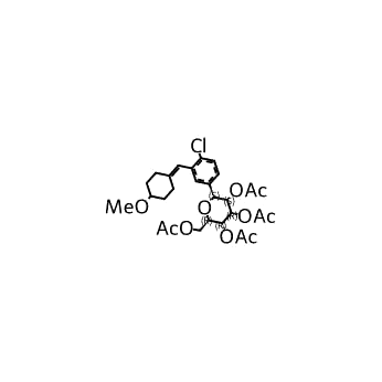 COC1CCC(=Cc2cc([C@@H]3O[C@H](COC(C)=O)[C@@H](OC(C)=O)[C@H](OC(C)=O)[C@H]3OC(C)=O)ccc2Cl)CC1